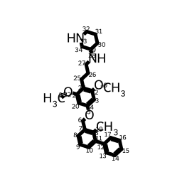 COc1cc(OCc2cccc(-c3ccccc3)c2C)cc(OC)c1CCCNC1CCCNC1